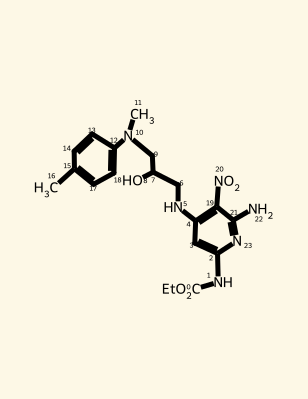 CCOC(=O)Nc1cc(NCC(O)CN(C)c2ccc(C)cc2)c([N+](=O)[O-])c(N)n1